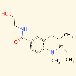 CC[C@H]1C(C)Cc2cc(C(=O)NCCO)ccc2N1C